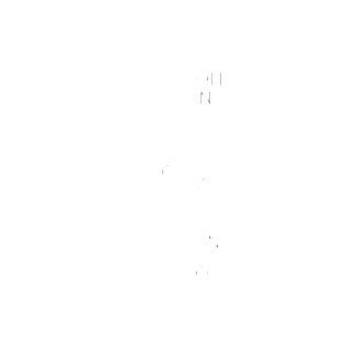 CCOc1cc(/C=N/O)ccc1OCc1ccc(OC)nc1